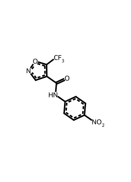 O=C(Nc1ccc([N+](=O)[O-])cc1)c1cnoc1C(F)(F)F